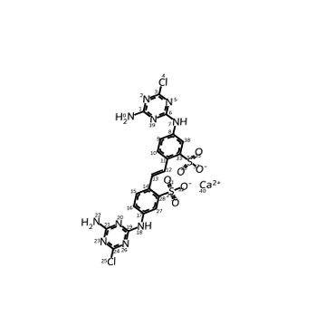 Nc1nc(Cl)nc(Nc2ccc(C=Cc3ccc(Nc4nc(N)nc(Cl)n4)cc3S(=O)(=O)[O-])c(S(=O)(=O)[O-])c2)n1.[Ca+2]